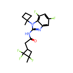 CC1(n2c(NC(=O)CC3CC(C)(F)C3(F)F)nc3cc(F)cc(F)c32)CCC1